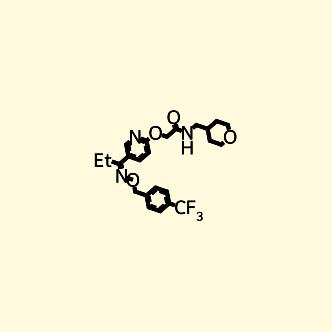 CCC(=NOCc1ccc(C(F)(F)F)cc1)c1ccc(OCC(=O)NCC2CCOCC2)nc1